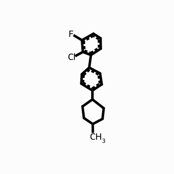 CC1CCC(c2ccc(-c3cccc(F)c3Cl)cc2)CC1